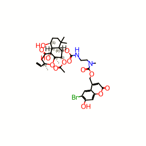 C=C[C@@]1(C)CC(=O)[C@]2(O)[C@@H]3[C@@H]([C@H](OC(=O)NCCN(C)C(=O)OCc4cc(=O)oc5cc(O)c(Br)cc45)[C@H](OC(C)=O)[C@@]2(C)O1)C(C)(C)CC[C@@H]3O